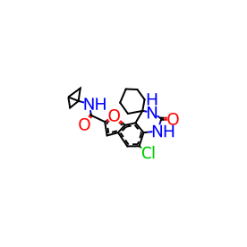 O=C1Nc2c(Cl)cc3cc(C(=O)NC45CC4C5)oc3c2C2(CCCCC2)N1